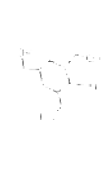 OCC1CC(CO)C(O)C(CO)C1